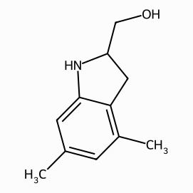 Cc1cc(C)c2c(c1)NC(CO)C2